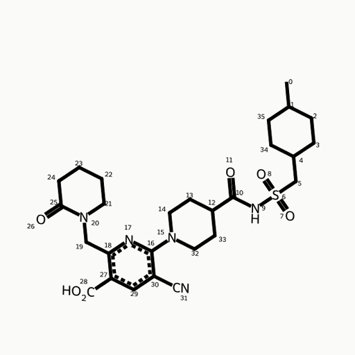 CC1CCC(CS(=O)(=O)NC(=O)C2CCN(c3nc(CN4CCCCC4=O)c(C(=O)O)cc3C#N)CC2)CC1